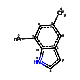 CCCc1cc(C(F)(F)F)cc2cc[nH]c12